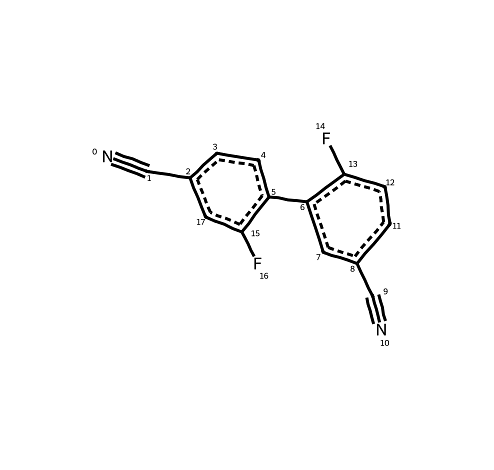 N#Cc1ccc(-c2cc(C#N)ccc2F)c(F)c1